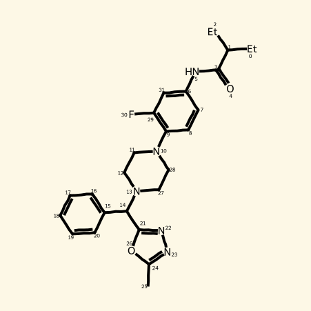 CCC(CC)C(=O)Nc1ccc(N2CCN(C(c3ccccc3)c3nnc(C)o3)CC2)c(F)c1